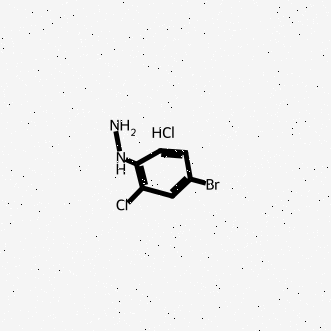 Cl.NNc1ccc(Br)cc1Cl